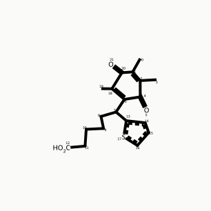 CC1=C(C)C(=O)C(C(CCCCC(=O)O)c2cccs2)=C(C)C1=O